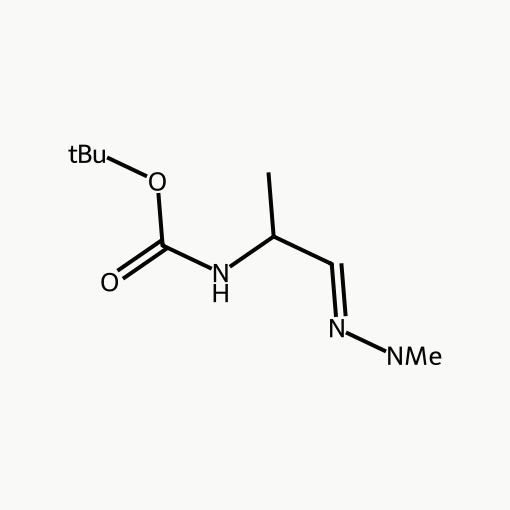 CNN=CC(C)NC(=O)OC(C)(C)C